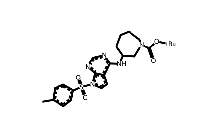 Cc1ccc(S(=O)(=O)n2ccc3c(NC4CCCCN(C(=O)OC(C)(C)C)C4)ncnc32)cc1